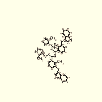 Cc1c(Cn2cnc3ccccc32)cccc1C(CSc1nnnn1C)SC(CSc1nnnn1C)c1cccc(Cn2cnc3ccccc32)c1C